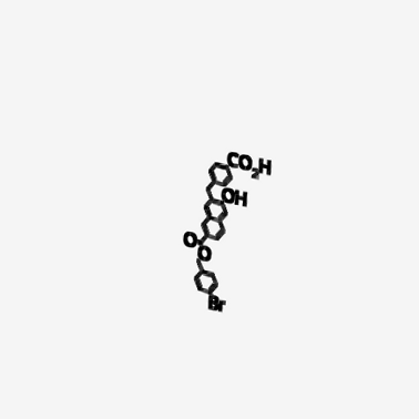 O=C(O)c1ccc(Cc2cc3cc(C(=O)OCc4ccc(Br)cc4)ccc3cc2O)cc1